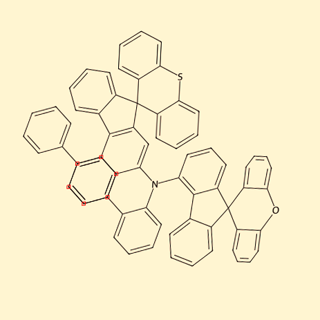 c1ccc(-c2ccc(-c3ccccc3N(c3cccc4c3-c3ccccc3C43c4ccccc4Oc4ccccc43)c3cc4c(c5ccccc35)-c3ccccc3C43c4ccccc4Sc4ccccc43)cc2)cc1